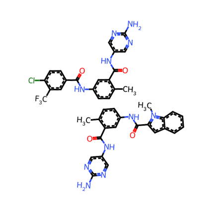 Cc1ccc(NC(=O)c2cc3ccccc3n2C)cc1C(=O)Nc1cnc(N)nc1.Cc1ccc(NC(=O)c2ccc(Cl)c(C(F)(F)F)c2)cc1C(=O)Nc1cnc(N)nc1